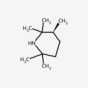 C[C@H]1CCC(C)(C)NC1(C)C